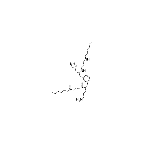 CCCCCCNCCCNC(CCCN)Cc1cccc(CC(CCCN)NCCCNCCCCCC)c1